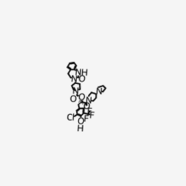 O=C(O[C@H](Cc1cc(Cl)c(O)c(C(F)(F)F)c1)C(=O)N1CCC(N2CCCC2)CC1)N1CCC(N2CCc3ccccc3NC2=O)CC1